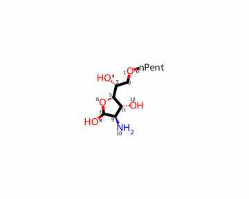 CCCCCOC[C@@H](O)[C@H]1OC(O)[C@H](N)[C@H]1O